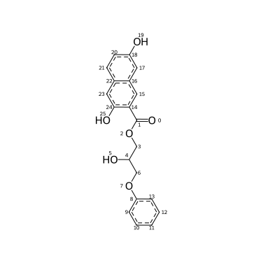 O=C(OCC(O)COc1ccccc1)c1cc2cc(O)ccc2cc1O